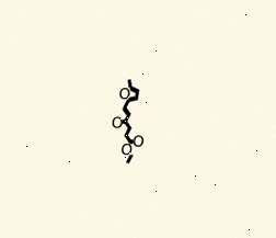 CCOC(=O)CCC(=O)/C=C/c1ccc(C)o1